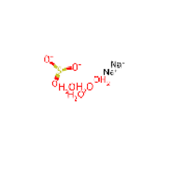 O.O.O.O.O=S([O-])[O-].[Na+].[Na+]